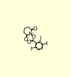 O=C(ON1C(=O)CCCC1=O)c1c(I)ccc(I)c1I